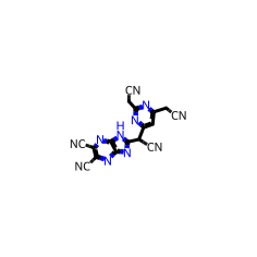 N#CCc1cc(C(C#N)c2nc3nc(C#N)c(C#N)nc3[nH]2)nc(CC#N)n1